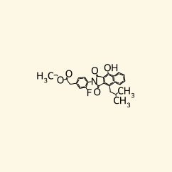 CCOC(=O)Cc1ccc(N2C(=O)c3c(c(CC(C)C)c4ccccc4c3O)C2=O)c(F)c1